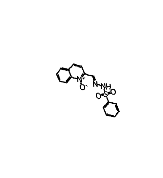 O=S(=O)(NN=Cc1ccc2ccccc2[n+]1[O-])c1ccccc1